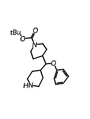 CC(C)(C)OC(=O)N1CCC(C(Oc2ccccc2)C2CCNCC2)CC1